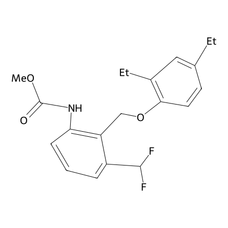 CCc1ccc(OCc2c(NC(=O)OC)cccc2C(F)F)c(CC)c1